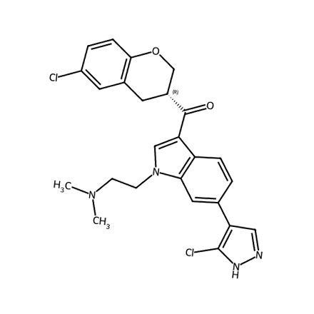 CN(C)CCn1cc(C(=O)[C@H]2COc3ccc(Cl)cc3C2)c2ccc(-c3cn[nH]c3Cl)cc21